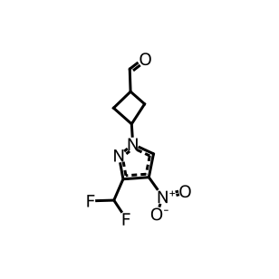 O=CC1CC(n2cc([N+](=O)[O-])c(C(F)F)n2)C1